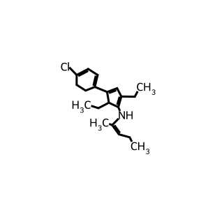 CC/C=C(/C)NC1=C(CC)C=C(C2=CC=C(Cl)CC2)C1CC